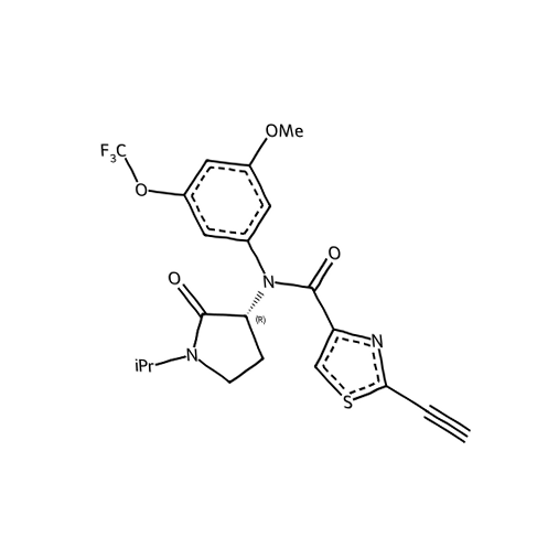 C#Cc1nc(C(=O)N(c2cc(OC)cc(OC(F)(F)F)c2)[C@@H]2CCN(C(C)C)C2=O)cs1